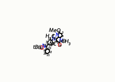 COc1ccc2c(n1)c(N(C)C1CCC(/C(=N/OC(C)(C)C)c3ccccc3)CC1)c(C#N)c(=O)n2C